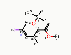 C=C(OCC)[C@@H](O[Si](C)(C)C(C)(C)C)[C@@H](C)/C=C(\C)I